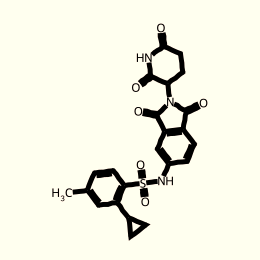 Cc1ccc(S(=O)(=O)Nc2ccc3c(c2)C(=O)N(C2CCC(=O)NC2=O)C3=O)c(C2CC2)c1